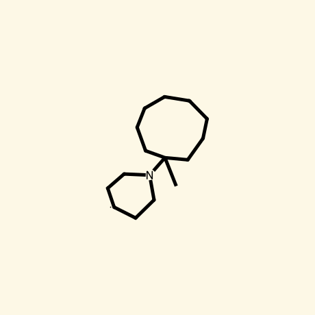 CC1(N2CC[CH]CC2)CCCCCCCC1